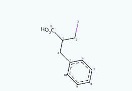 O=C(O)C(CI)Cc1ccccc1